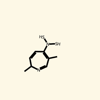 CC1=C(N(S)S)C=CC(C)N=C1